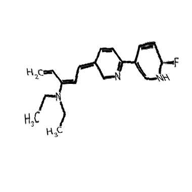 C=C/C(=C\C=C1\C=CC(C2=CN[C@H](F)C=C2)=NC1)N(CC)CC